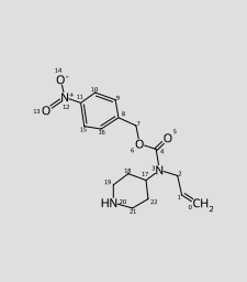 C=CCN(C(=O)OCc1ccc([N+](=O)[O-])cc1)C1CCNCC1